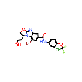 O=C(Nc1ccc(OC(F)(F)Cl)cc1)c1cc(Br)c2c(c1)nc1n2[C@@H](CCO)CO1